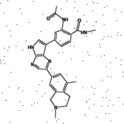 CNC(=O)c1ccc(-c2c[nH]c3ncc(-c4cc(C)c5c(c4)CN(C)CC5)nc23)cc1NC(C)=O